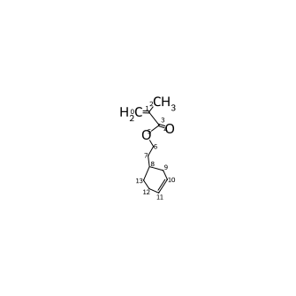 C=C(C)C(=O)OCCC1CC=CCC1